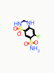 NS(=O)(=O)c1cc2c(cc1F)NCNS2(=O)=O